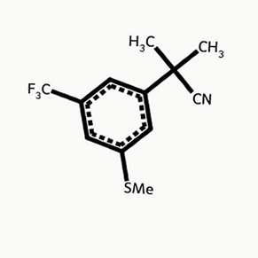 CSc1cc(C(F)(F)F)cc(C(C)(C)C#N)c1